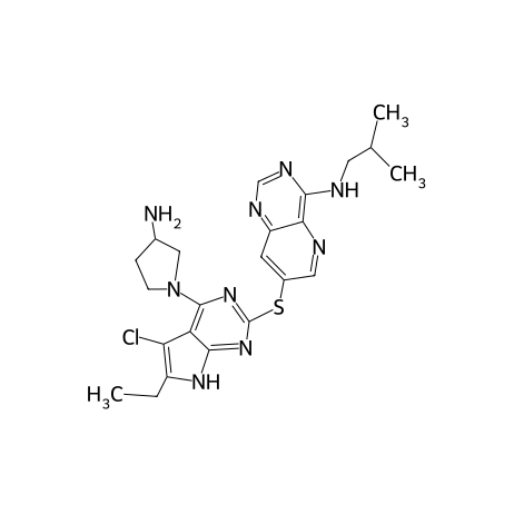 CCc1[nH]c2nc(Sc3cnc4c(NCC(C)C)ncnc4c3)nc(N3CCC(N)C3)c2c1Cl